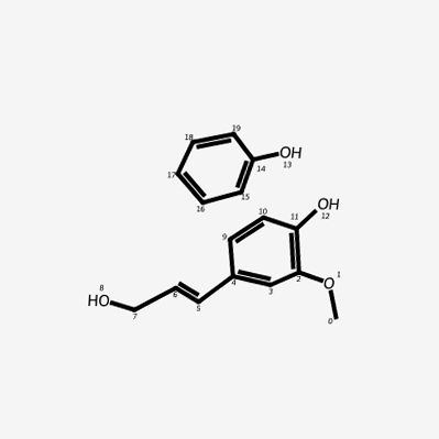 COc1cc(C=CCO)ccc1O.Oc1ccccc1